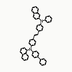 C(=C\c1ccc(N(c2ccc(-c3ccccc3)cc2)c2cccc3ccccc23)cc1)/c1ccc(N(c2ccccc2)c2ccc3ccccc3c2)cc1